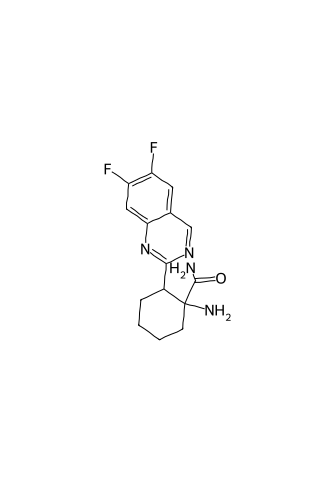 NC(=O)C1(N)CCCCC1c1ncc2cc(F)c(F)cc2n1